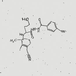 Cc1c(NC(CCO)C(=O)NNC(=O)c2ccc(C#N)cc2)ccc(C#N)c1I